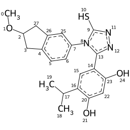 COC1Cc2ccc(-n3c(S)nnc3-c3cc(C(C)C)c(O)cc3O)cc2C1